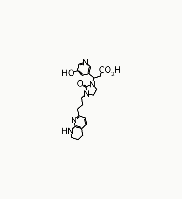 O=C(O)CC(c1cncc(O)c1)N1CCN(CCCc2ccc3c(n2)NCCC3)C1=O